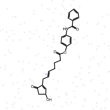 O=C(CCC/C=C/CC1=CC(O)CC1=O)Oc1ccc(NC(=O)c2ccccc2)cc1